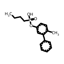 CCCCP(=O)(O)Oc1ccc(C)c(-c2ccccc2)c1